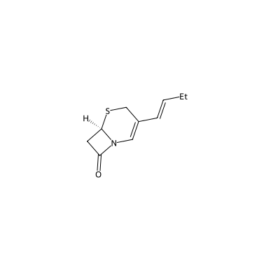 CC/C=C/C1=CN2C(=O)C[C@H]2SC1